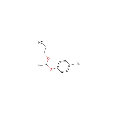 CCC(OCCC#N)Oc1ccc(C(C)CC)cc1